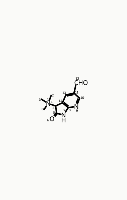 C[N+](C)(C)C1C(=O)Nc2ncc(C=O)cc21